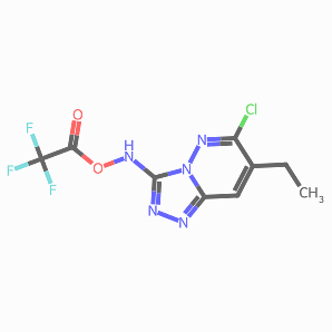 CCc1cc2nnc(NOC(=O)C(F)(F)F)n2nc1Cl